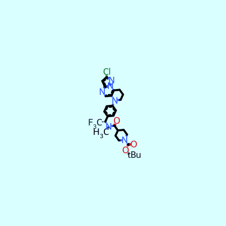 CN(C(=O)C1CCN(C(=O)OC(C)(C)C)CC1)[C@@H](c1ccc(N2CCCc3c2cnc2cc(Cl)nn32)cc1)C(F)(F)F